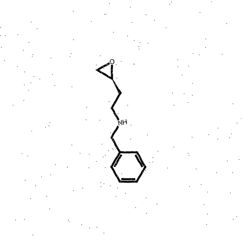 c1ccc(CNCC[C@H]2CO2)cc1